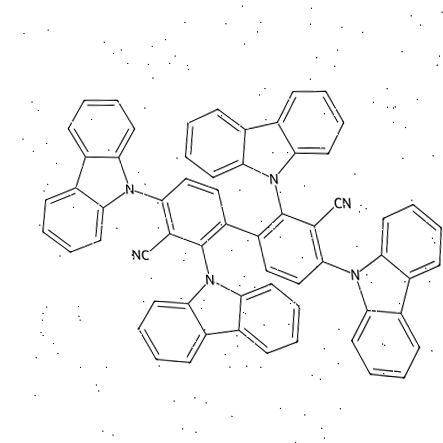 N#Cc1c(-n2c3ccccc3c3ccccc32)ccc(-c2ccc(-n3c4ccccc4c4ccccc43)c(C#N)c2-n2c3ccccc3c3ccccc32)c1-n1c2ccccc2c2ccccc21